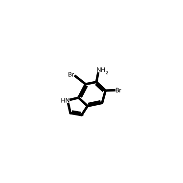 Nc1c(Br)cc2[c]c[nH]c2c1Br